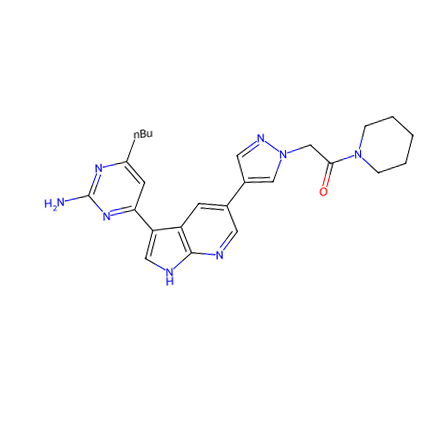 CCCCc1cc(-c2c[nH]c3ncc(-c4cnn(CC(=O)N5CCCCC5)c4)cc23)nc(N)n1